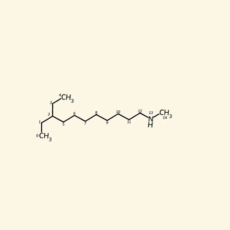 CCC(CC)CCCCCCCCNC